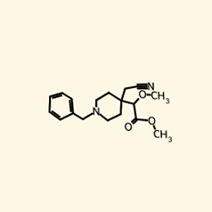 COC(=O)C(OC)C1(CC#N)CCN(Cc2ccccc2)CC1